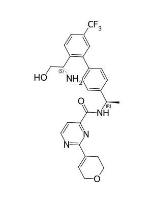 C[C@@H](NC(=O)c1ccnc(C2=CCOCC2)n1)c1ccc(-c2cc(C(F)(F)F)ccc2[C@H](N)CO)cc1